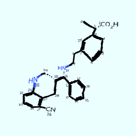 C[C@H](C(=O)O)c1cccc(CCN[C@H](c2ccccc2)[C@H]2CNc3cccc(C#N)c3C2)c1